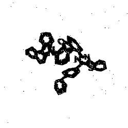 c1ccc(-c2ccc(-c3nc(-c4cccc5oc6c(-n7c8ccccc8c8c9ccccc9ccc87)cccc6c45)nc4c3sc3ccccc34)cc2)cc1